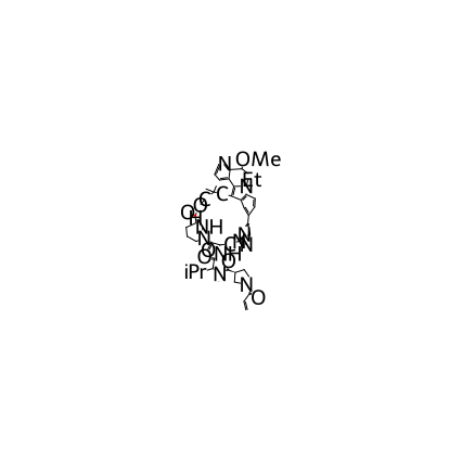 C=CC(=O)N1CC[C@H](C(=O)N(C)C(C(=O)N[C@H]2Cn3ncc(n3)-c3ccc4c(c3)c(c(-c3cccnc3[C@H](C)OC)n4CC)CC(C)(C)COC(=O)[C@@H]3CCCN(N3)C2=O)C(C)C)C1